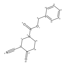 N#CC1CN(C(=O)OCc2ccccc2)CCC1=O